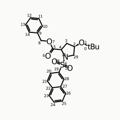 CC(C)(C)O[C@@H]1CC(C(=O)OCc2ccccc2)N(S(=O)(=O)c2ccc3ccccc3c2)C1